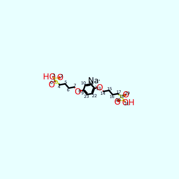 O=S(=O)(O)CCCCOc1ccc(OCCCCS(=O)(=O)O)cc1.[Na]